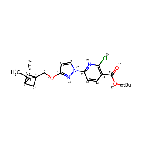 C[C@@H]1C2CC1(COc1ccn(-c3ccc(C(=O)OC(C)(C)C)c(Cl)n3)n1)C2